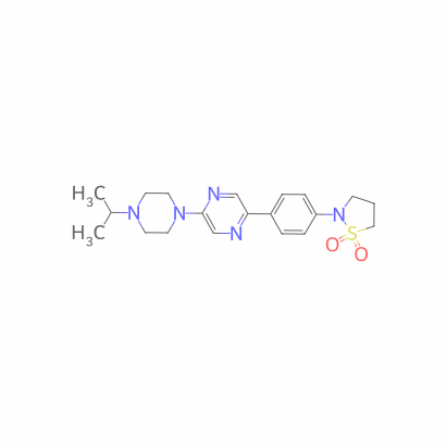 CC(C)N1CCN(c2cnc(-c3ccc(N4CCCS4(=O)=O)cc3)cn2)CC1